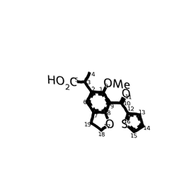 COc1c(C(C)C(=O)O)cc2c(c1C(=O)c1cccs1)OCC2